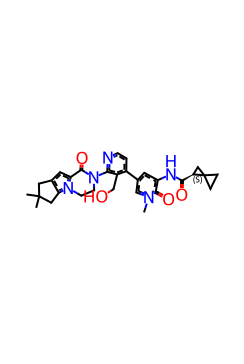 Cn1cc(-c2ccnc(N3CCn4c(cc5c4CC(C)(C)C5)C3=O)c2CO)cc(NC(=O)[C@H]2CC23CC3)c1=O